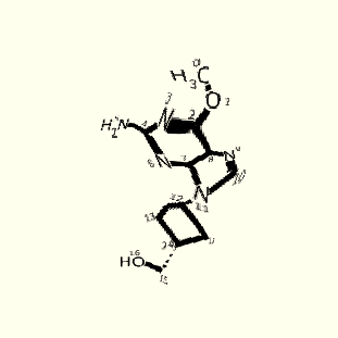 COC1=NC(N)=NC2C1N=CN2[C@H]1C[C@@H](CO)C1